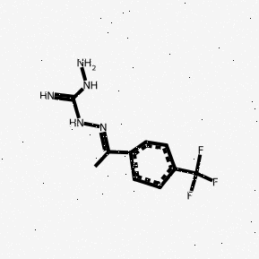 C/C(=N\NC(=N)NN)c1ccc(C(F)(F)F)cc1